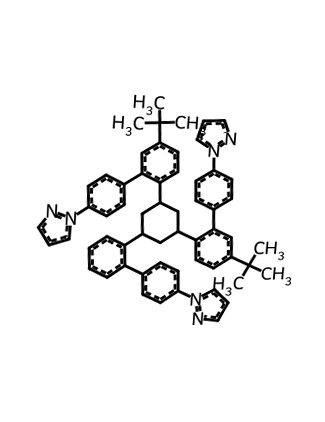 CC(C)(C)c1ccc(C2CC(c3ccccc3-c3ccc(-n4cccn4)cc3)CC(c3ccc(C(C)(C)C)cc3-c3ccc(-n4cccn4)cc3)C2)c(-c2ccc(-n3cccn3)cc2)c1